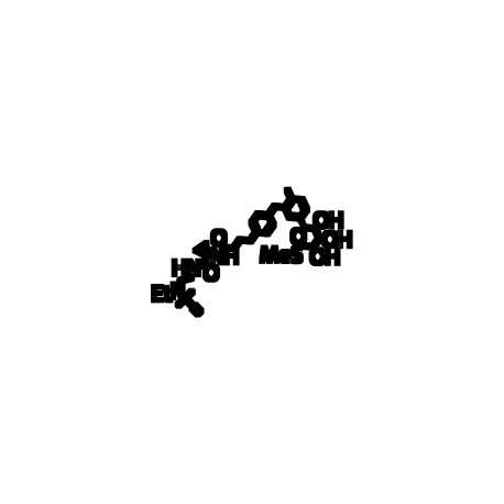 C#CC(C)(C)N(CC)CCNC(=O)C1(NC(=O)CCCc2ccc(Cc3cc([C@@H]4O[C@H](SC)[C@@H](O)[C@H](O)[C@H]4O)ccc3C)cc2)CC1